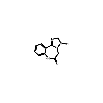 O=C1CN2C(=NCN2Cl)c2ccccc2N1